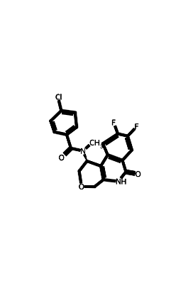 CN(C(=O)c1ccc(Cl)cc1)[C@@H]1COCc2[nH]c(=O)c3cc(F)c(F)cc3c21